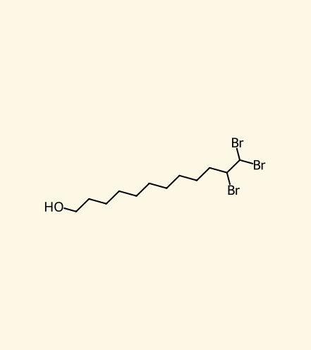 OCCCCCCCCCCC(Br)C(Br)Br